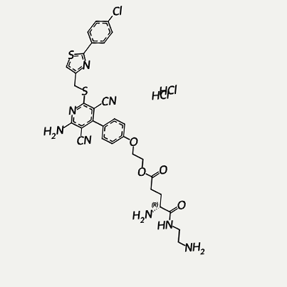 Cl.Cl.N#Cc1c(N)nc(SCc2csc(-c3ccc(Cl)cc3)n2)c(C#N)c1-c1ccc(OCCOC(=O)CC[C@@H](N)C(=O)NCCN)cc1